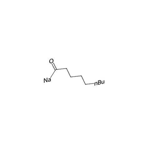 CCCCCCCC[C](=O)[Na]